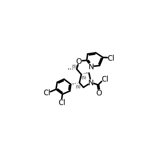 C[C@H](Oc1ccc(Cl)cn1)[C@@H]1CN(C(=O)Cl)C[C@@H]1c1ccc(Cl)c(Cl)c1